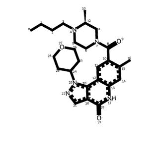 CCCCN1CCN(C(=O)c2cc3c(cc2C)[nH]c(=O)c2cnn(C4CCOCC4)c23)C[C@@H]1C